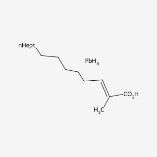 CCCCCCCCCCCC/C=C(\C)C(=O)O.[PbH4]